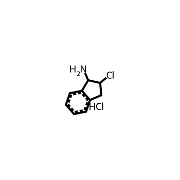 Cl.NC1c2ccccc2CC1Cl